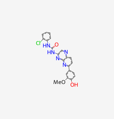 COc1cc(-c2ccc3ncc(NC(=O)Nc4ccccc4Cl)nc3n2)ccc1O